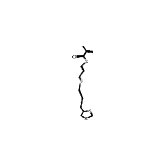 C=C(C)C(=O)SCCCSCCCC1CSCS1